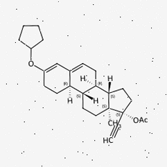 C#C[C@]1(OC(C)=O)CC[C@H]2[C@@H]3CC=C4C=C(OC5CCCC5)CC[C@@H]4[C@H]3CC[C@@]21C